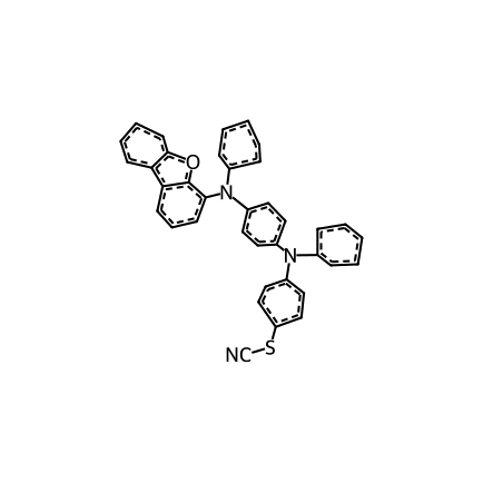 N#CSc1ccc(N(c2ccccc2)c2ccc(N(c3ccccc3)c3cccc4c3oc3ccccc34)cc2)cc1